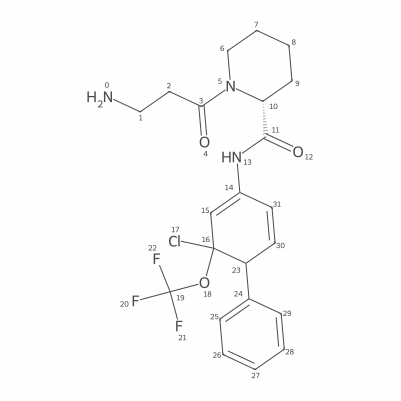 NCCC(=O)N1CCCC[C@@H]1C(=O)NC1=CC(Cl)(OC(F)(F)F)C(c2ccccc2)C=C1